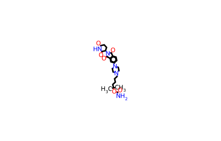 CC(C)(CCCCN1CCN(c2ccc3c(c2)C(=O)N(C2CCC(=O)NC2=O)C3=O)CC1)OC(N)=O